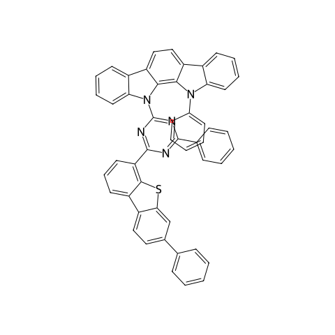 c1ccc(-c2ccc3c(c2)sc2c(-c4nc(-c5ccccc5)nc(-n5c6ccccc6c6ccc7c8ccccc8n(-c8ccccc8)c7c65)n4)cccc23)cc1